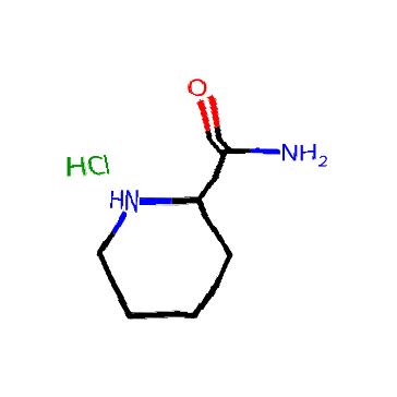 Cl.NC(=O)C1CCCCN1